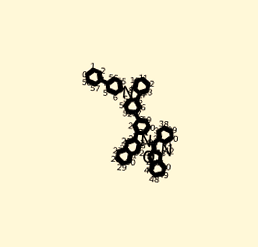 c1ccc(-c2ccc(-n3c4ccccc4c4cc(-c5ccc6c(c5)c5cc7ccccc7cc5n6-c5c6ccccc6nc6c5oc5ccccc56)ccc43)cc2)cc1